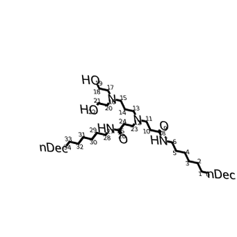 CCCCCCCCCCCCCCCCNC(=O)CCN(CCCN(CCO)CCO)CCC(=O)NCCCCCCCCCCCCCCCC